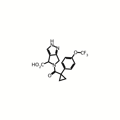 O=C(O)C1c2c[nH]nc2CN1C(=O)C1(c2ccc(OC(F)(F)F)cc2)CC1